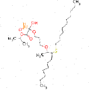 CCCCCCCCCCCSC(CCCCCCC)C(C)OCCCOC(O)([PH2]=O)C(=O)OC(C)C